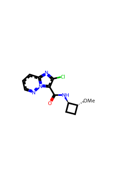 CO[C@@H]1CC[C@H]1NC(=O)c1c(Cl)nc2cccnn12